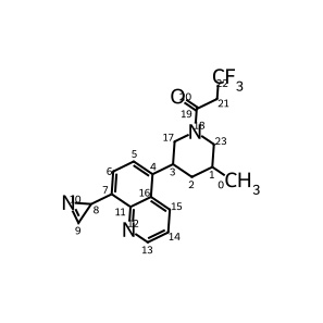 CC1CC(c2ccc(C3C=N3)c3ncccc23)CN(C(=O)CC(F)(F)F)C1